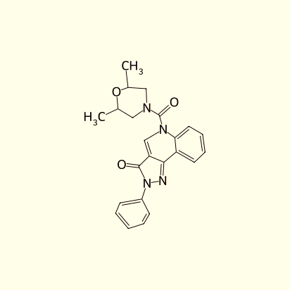 CC1CN(C(=O)n2cc3c(=O)n(-c4ccccc4)nc-3c3ccccc32)CC(C)O1